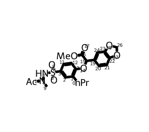 CCCc1cc(S(=O)(=O)NN(C)C(C)=O)ccc1OC(C(=O)OC)c1ccc2c(c1)OCO2